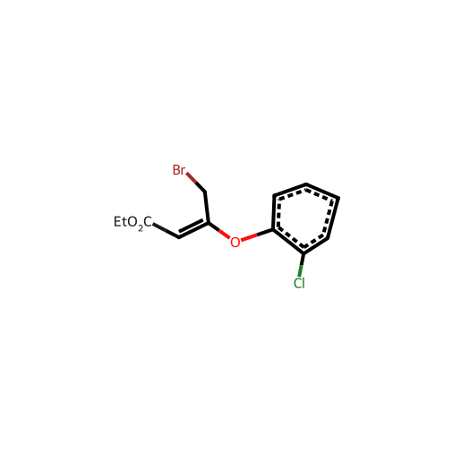 CCOC(=O)/C=C(\CBr)Oc1ccccc1Cl